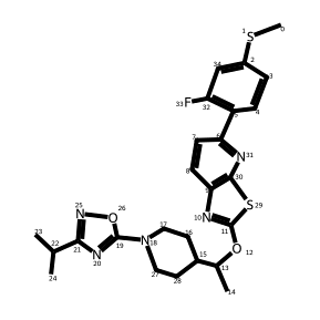 CSc1ccc(-c2ccc3nc(OC(C)C4CCN(c5nc(C(C)C)no5)CC4)sc3n2)c(F)c1